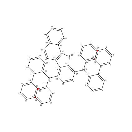 c1ccc(-c2ccccc2N(c2ccccc2)c2ccc(N(c3ccccc3)c3ccccc3-c3ccccc3)c3c2sc2c4ccccc4ccc23)cc1